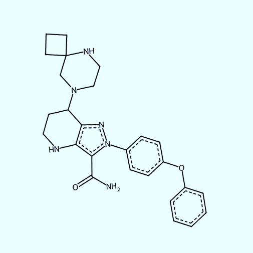 NC(=O)c1c2c(nn1-c1ccc(Oc3ccccc3)cc1)C(N1CCNC3(CCC3)C1)CCN2